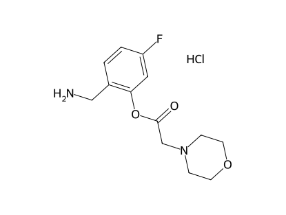 Cl.NCc1ccc(F)cc1OC(=O)CN1CCOCC1